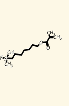 C=C(C)C(=O)OCCCCCCC[Si](C)(C)F